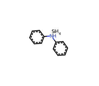 [SiH4].c1ccc(Nc2ccccc2)cc1